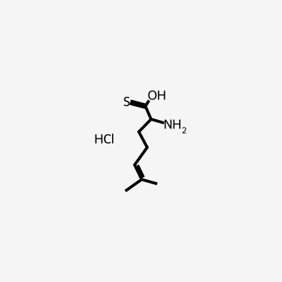 CC(C)=CCCC(N)C(O)=S.Cl